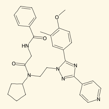 COc1ccc(-c2nc(-c3ccncc3)nn2CCN(C(=O)CNC(=O)c2ccccc2)C2CCCC2)cc1C